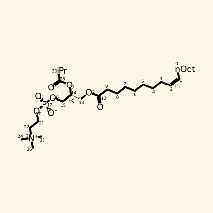 CCCCCCCC/C=C\CCCCCCCC(=O)OC[C@H](COP(=O)([O-])OCC[N+](C)(C)C)OC(=O)C(C)C